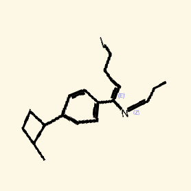 CC/C=N\C(=C\CCI)C1=CCC(C2CCC2C)C=C1